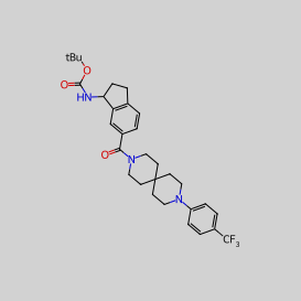 CC(C)(C)OC(=O)NC1CCc2ccc(C(=O)N3CCC4(CC3)CCN(c3ccc(C(F)(F)F)cc3)CC4)cc21